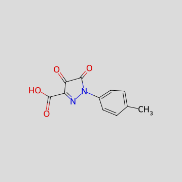 Cc1ccc(N2N=C(C(=O)O)C(=O)C2=O)cc1